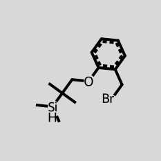 C[SiH](C)C(C)(C)COc1ccccc1CBr